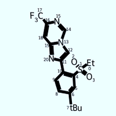 CCS(=O)(=O)c1cc(C(C)(C)C)ccc1-c1cn2cnc(C(F)(F)F)cc2n1